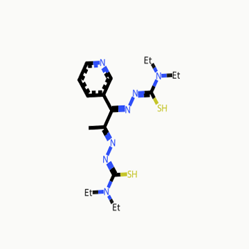 CCN(CC)/C(S)=N/N=C(C)/C(=N/N=C(\S)N(CC)CC)c1cccnc1